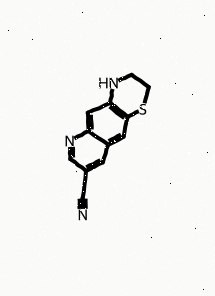 N#Cc1cnc2cc3c(cc2c1)SCCN3